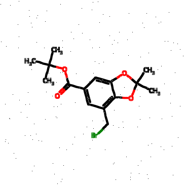 CC(C)(C)OC(=O)c1cc(CBr)c2c(c1)OC(C)(C)O2